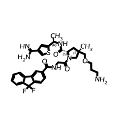 C[C@@H](NC(=O)[C@@H]1C[C@](C)(COCCCN)CN1C(=O)CNC(=O)c1ccc2c(c1)-c1ccccc1C2(F)F)c1cc(C(=N)N)cs1